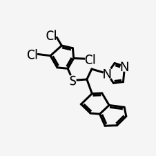 Clc1cc(Cl)c(SC(Cn2ccnc2)c2ccc3ccccc3c2)cc1Cl